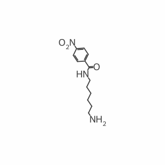 NCCCCCCNC(=O)c1ccc([N+](=O)[O-])cc1